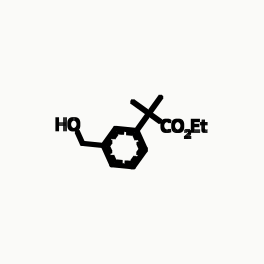 CCOC(=O)C(C)(C)c1cccc(CO)c1